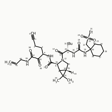 C#CCCC(NC(=O)[C@@H]1C2[C@H](CN1C(=O)[C@@H](NC(=O)NC1(CS(=O)(=O)CC)CCCCC1)C(C)(C)C)C2(C)C)C(=O)C(=O)NCC=C